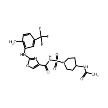 CC(=O)NC1CCN(S(=O)(=O)NC(=O)c2coc(Nc3cc(C(F)(F)F)ccc3C)n2)CC1